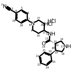 Cl.Cl.N#Cc1ccc(N2CCC(NC(=O)[C@@H]3CNC[C@H]3c3ccccc3)CC2)cc1